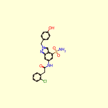 NS(=O)(=O)c1cc(NC(=O)Cc2ccccc2Cl)cc2nn(Cc3ccc(O)cc3)cc12